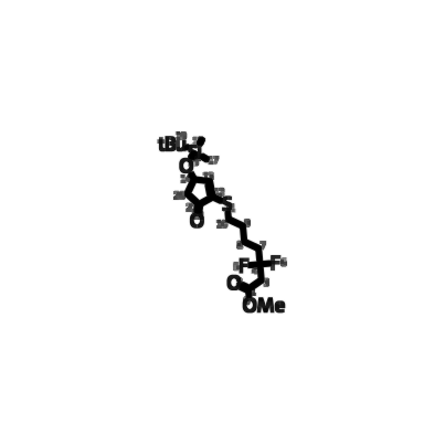 COC(=O)CC(F)(F)CCCCSC1=CC(O[Si](C)(C)C(C)(C)C)CC1=O